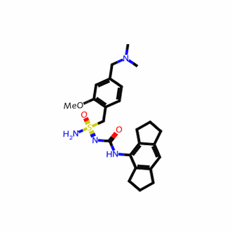 COc1cc(CN(C)C)ccc1CS(N)(=O)=NC(=O)Nc1c2c(cc3c1CCC3)CCC2